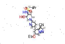 CCOc1cc(-c2ccc(N3CCC(NS(=O)(=O)CC(C)C)[C@@H](O)C3)nc2)c2c(C#N)cnn2c1